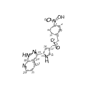 O=[N+](O)c1ccc(CS(=O)(=O)c2c[nH]c(-c3n[nH]c4ncccc34)c2)cc1